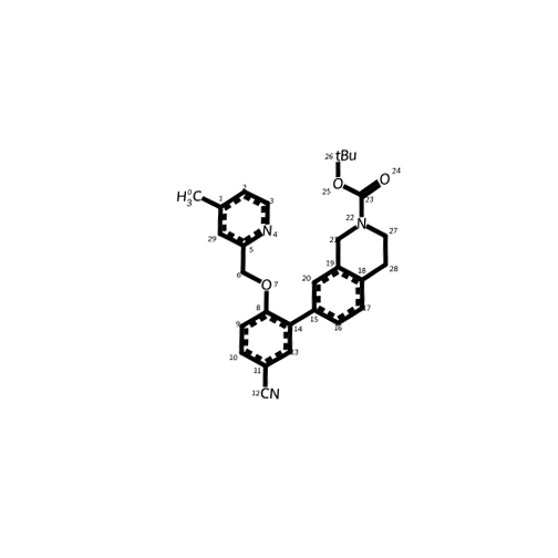 Cc1ccnc(COc2ccc(C#N)cc2-c2ccc3c(c2)CN(C(=O)OC(C)(C)C)CC3)c1